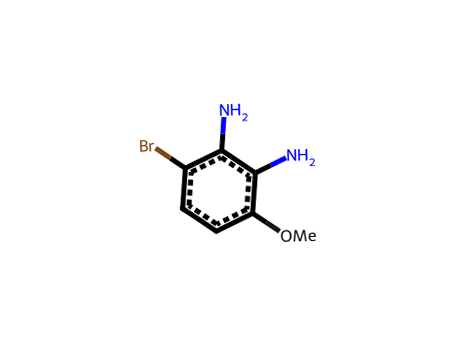 COc1ccc(Br)c(N)c1N